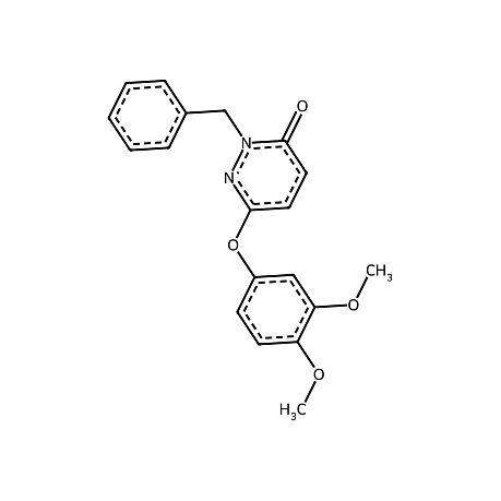 COc1ccc(Oc2ccc(=O)n(Cc3ccccc3)n2)cc1OC